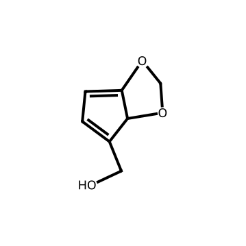 OCC1=CC=C2OCOC12